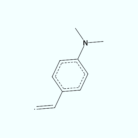 [CH]=Cc1ccc(N(C)C)cc1